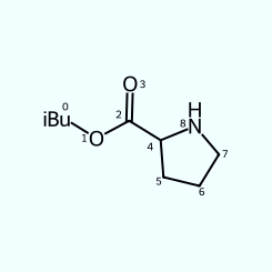 CCC(C)OC(=O)C1CCCN1